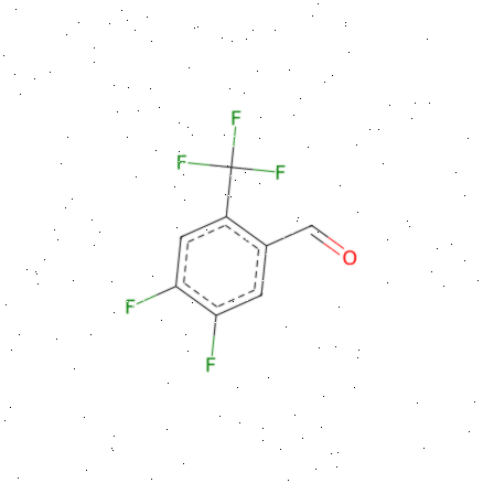 O=Cc1cc(F)c(F)cc1C(F)(F)F